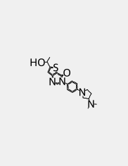 CC(O)c1cc2ncn(-c3ccc(N4CC[C@@H](N(C)C)C4)cc3)c(=O)c2s1